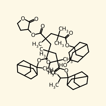 CCC(C)(CC(C)(CC(C)(CC(C)(C)C(=O)OC12CC3CC(CC(O)(C3)C1)C2)C(=O)OC1CCOC1=O)C(=O)OC1(C)C2CC3CC(C2)CC1C3)C(=O)OC1(C(C)C)C2CC3CC(C2)CC1C3